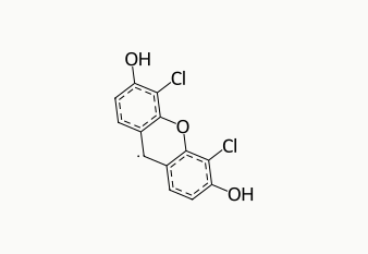 Oc1ccc2c(c1Cl)Oc1c(ccc(O)c1Cl)[CH]2